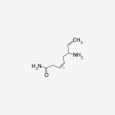 C=CC(N)C/C=C\CC(N)=O